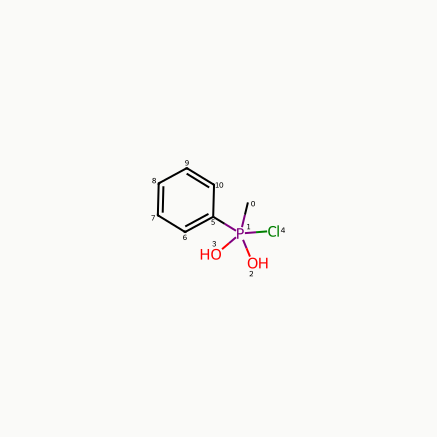 CP(O)(O)(Cl)c1ccccc1